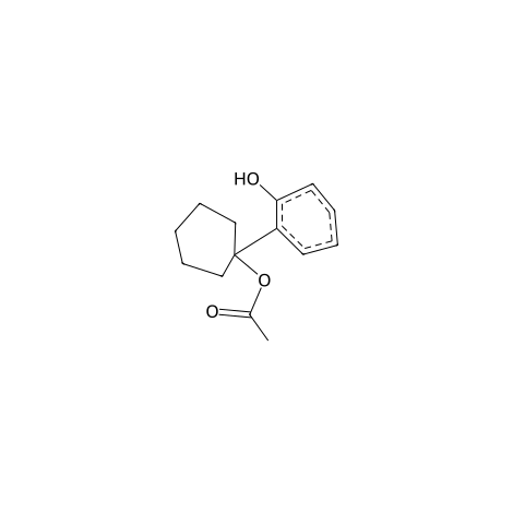 CC(=O)OC1(c2ccccc2O)CCCCC1